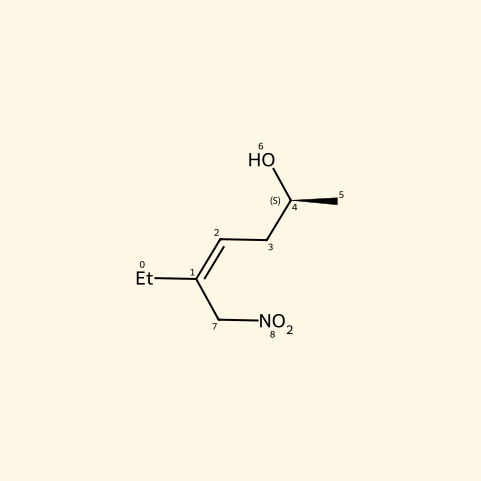 CCC(=CC[C@H](C)O)C[N+](=O)[O-]